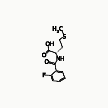 CSCC[C@H](NC(=O)c1ccccc1F)C(=O)O